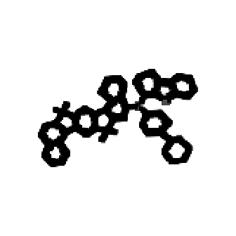 CC1(C)c2cc3c(cc2-c2c1ccc1ccccc21)C(C)(C)c1cc(N(c2ccc(C4CCCCC4)cc2)c2cccc4c2oc2ccccc24)c2ccccc2c1-3